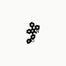 c1ccc(-c2c3ccccc3c(-c3ccc4oc5ccccc5c4c3)c3cnc4ccccc4c23)cc1